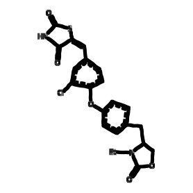 CCN1C(=O)OCC1Cc1ccc(Oc2ccc(/C=C3/SC(=O)NC3=O)cc2Cl)cc1